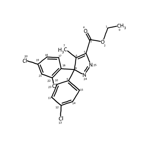 CCOC(=O)C1=C(C)C(c2ccc(Cl)cc2)(c2ccc(Cl)cc2Cl)N=N1